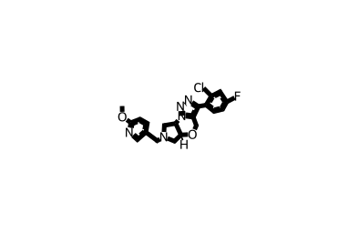 COc1ccc(CN2CC3[C@H](C2)OCc2c(-c4ccc(F)cc4Cl)nnn23)cn1